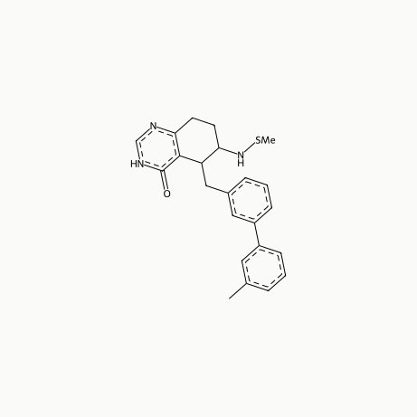 CSNC1CCc2nc[nH]c(=O)c2C1Cc1cccc(-c2cccc(C)c2)c1